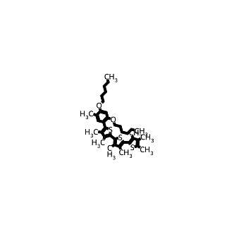 CCCCCCOc1cc(OCCCCCC)c(-c2sc(-c3sc(-c4sc(C)c(C)c4C)c(C)c3C)c(C)c2C)cc1C